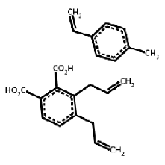 C=CCc1ccc(C(=O)O)c(C(=O)O)c1CC=C.C=Cc1ccc(C)cc1